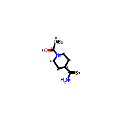 CC(C)COC(=O)N1CCC(C(N)=S)CC1